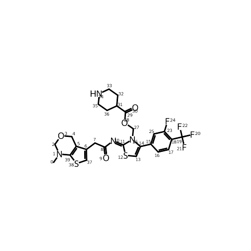 CN1COCc2c(CC(=O)/N=c3\scc(-c4ccc(C(F)(F)F)c(F)c4)n3COC(=O)C3CCNCC3)csc21